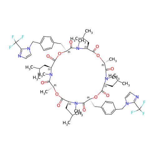 CC(C)C[C@H]1C(=O)O[C@H](Cc2ccc(Cn3ccnc3C(F)(F)F)cc2)C(=O)N(C)[C@@H](CC(C)C)C(=O)O[C@H](C)C(=O)N(C)[C@@H](CC(C)C)C(=O)O[C@H](Cc2ccc(Cn3ccnc3C(F)(F)F)cc2)C(=O)N(C)[C@@H](CC(C)C)C(=O)O[C@H](C)C(=O)N1C